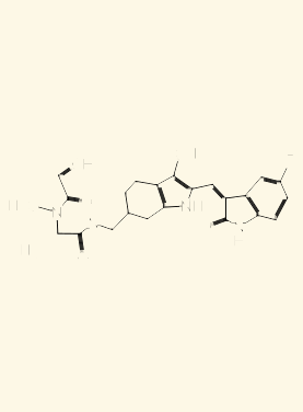 C=CC(=O)N(C)[C@@H](C)C(=O)NCC1CCc2c([nH]c(/C=C3\C(=O)Nc4ccc(F)cc43)c2C)C1